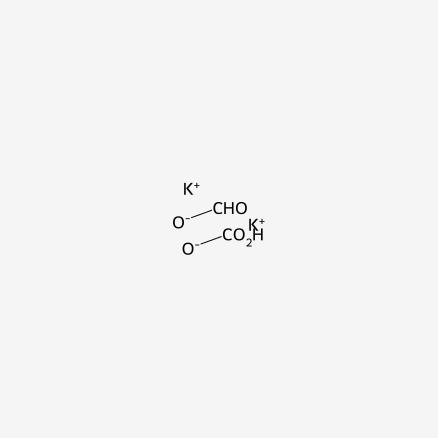 O=C([O-])O.O=C[O-].[K+].[K+]